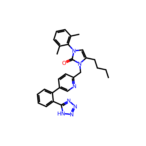 CCCCc1cn(-c2c(C)cccc2C)c(=O)n1Cc1ccc(-c2ccccc2-c2nnn[nH]2)cn1